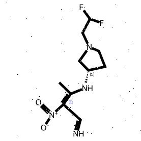 C/C(N[C@H]1CCN(CC(F)F)C1)=C(/C=N)[N+](=O)[O-]